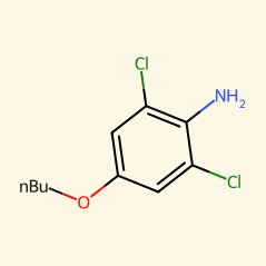 CCCCOc1cc(Cl)c(N)c(Cl)c1